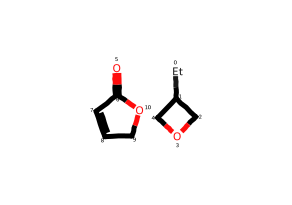 CCC1COC1.O=C1C=CCO1